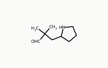 CC(C)(C=O)CC1CCCN1